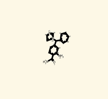 NC(=O)c1ccc(C(c2ccccc2)n2ccnc2)cc1N